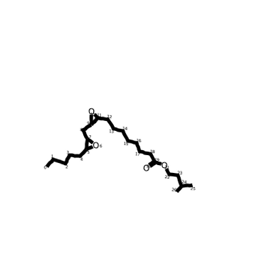 CCCCCC1OC1CC1OC1CCCCCCCC(=O)OCCC(C)C